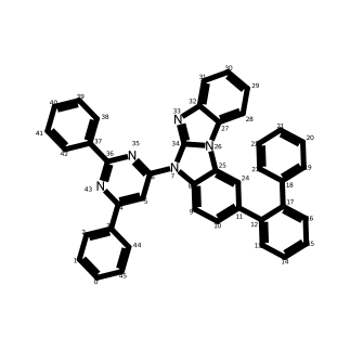 c1ccc(-c2cc(-n3c4ccc(-c5ccccc5-c5ccccc5)cc4n4c5ccccc5nc34)nc(-c3ccccc3)n2)cc1